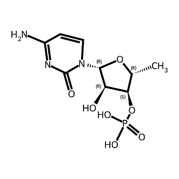 C[C@H]1O[C@@H](n2ccc(N)nc2=O)[C@H](O)[C@@H]1OP(=O)(O)O